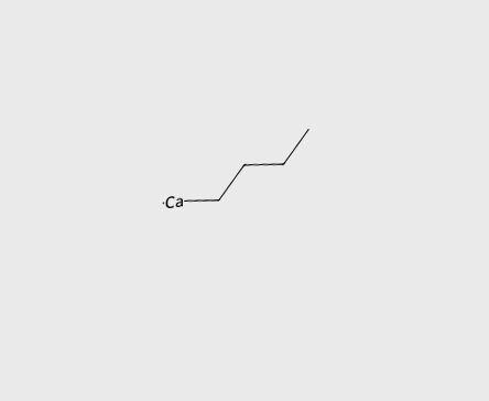 CCC[CH2][Ca]